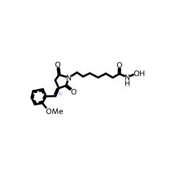 COc1ccccc1/C=C1\CC(=O)N(CCCCCCC(=O)NO)C1=O